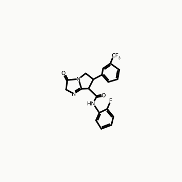 O=C(Nc1ccccc1F)C1C2=NCC(=O)N2CC1c1cccc(C(F)(F)F)c1